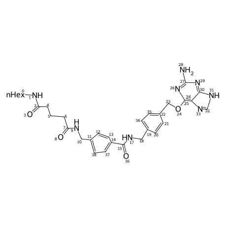 CCCCCCNC(=O)CCCC(=O)NCc1ccc(C(=O)NCc2ccc(COc3nc(N)nc4[nH]cnc34)cc2)cc1